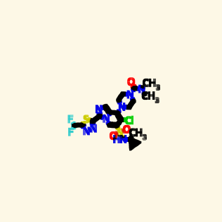 CN(C)C(=O)N1CCN(c2c(Cl)c(S(=O)(=O)NC3(C)CC3)cn3c(-c4nnc(C(F)F)s4)ncc23)CC1